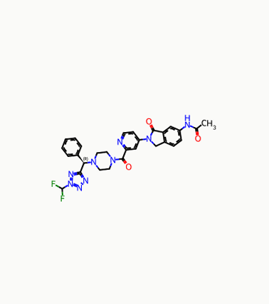 CC(=O)Nc1ccc2c(c1)C(=O)N(c1ccnc(C(=O)N3CCN([C@H](c4ccccc4)c4nnn(C(F)F)n4)CC3)c1)C2